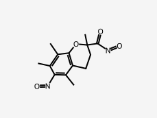 Cc1c(C)c2c(c(C)c1N=O)CCC(C)(C(=O)N=O)O2